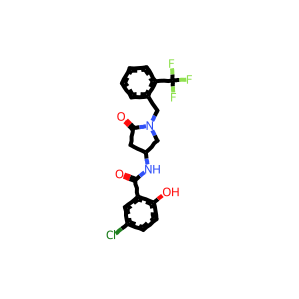 O=C(NC1CC(=O)N(Cc2ccccc2C(F)(F)F)C1)c1cc(Cl)ccc1O